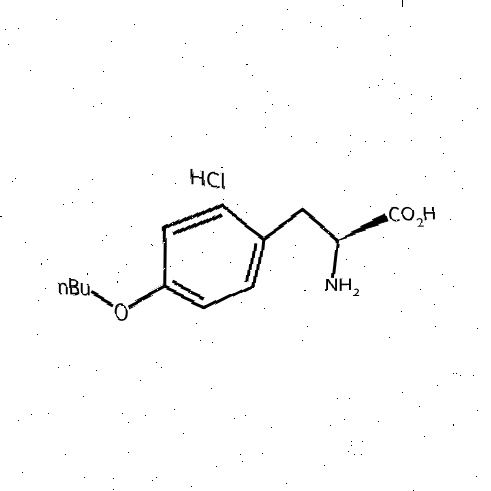 CCCCOc1ccc(C[C@H](N)C(=O)O)cc1.Cl